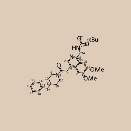 COc1cc2c(CC(=O)N3CCC(Cc4ccccc4)CC3)cnc(CNC(=O)OC(C)(C)C)c2cc1OC